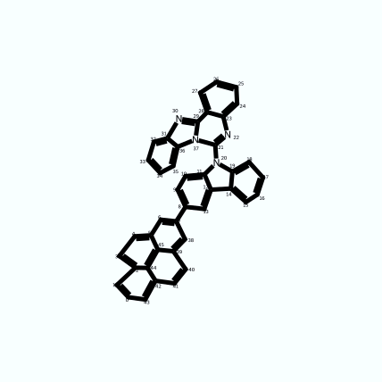 c1cc2ccc3cc(-c4ccc5c(c4)c4ccccc4n5-c4nc5ccccc5c5nc6ccccc6n45)cc4ccc(c1)c2c34